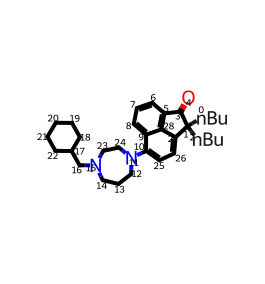 CCCCC1(CCCC)C(=O)c2cccc3c(N4CCCN(CC5CCCCC5)CC4)ccc1c23